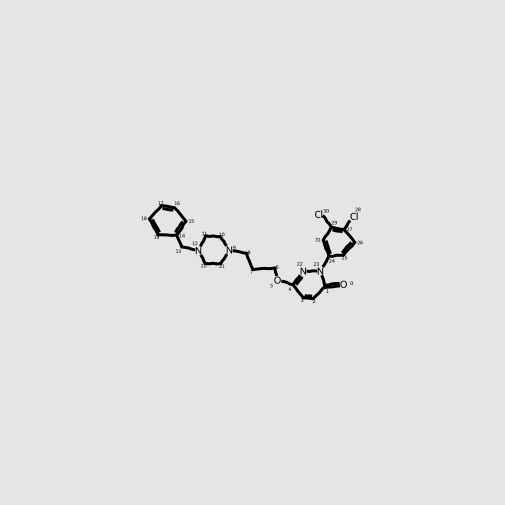 O=c1ccc(OCCCN2CCN(Cc3ccccc3)CC2)nn1-c1ccc(Cl)c(Cl)c1